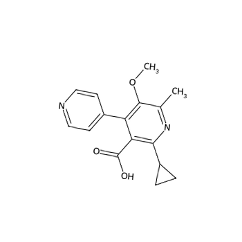 COc1c(C)nc(C2CC2)c(C(=O)O)c1-c1ccncc1